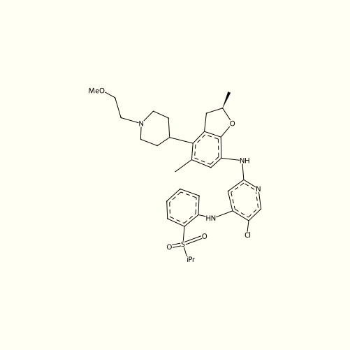 COCCN1CCC(c2c(C)cc(Nc3cc(Nc4ccccc4S(=O)(=O)C(C)C)c(Cl)cn3)c3c2C[C@@H](C)O3)CC1